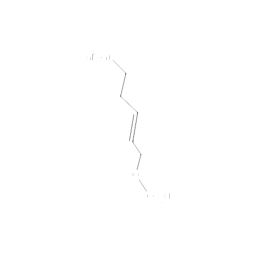 CCCCCCCC=CCOC(=O)O